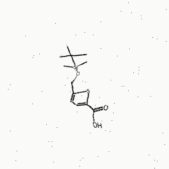 CC(C)(C)[Si](C)(C)OCc1ccc(C(=O)O)s1